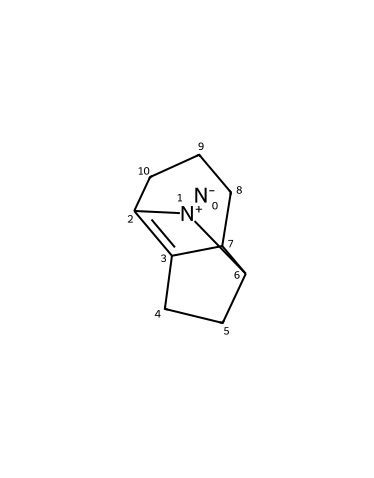 [N-]=[N+]1C2=C3CCC1C3CCC2